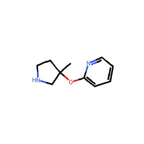 CC1(Oc2ccccn2)CCNC1